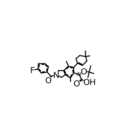 Cc1c2c(c(C)c([C@H](OC(C)(C)C)C(=O)O)c1C1=CCC(C)(C)CC1)CN(C(=O)c1cccc(F)c1)C2